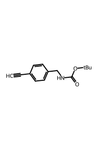 C#Cc1ccc(CNC(=O)OC(C)(C)C)cc1